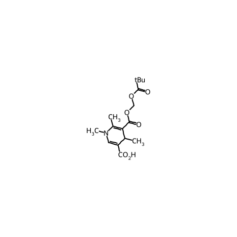 CC1=C(C(=O)OCOC(=O)C(C)(C)C)C(C)C(C(=O)O)=CN1C